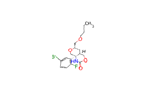 CCCCOC[C@H]1C[C@H]2COC(=O)N[C@@]2(c2cc(Br)ccc2F)CO1